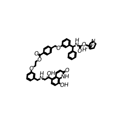 O=C(NC(c1ccccc1)c1cccc(OCc2ccc(C(=O)OCCOc3cccc(CNC[C@H](O)c4ccc(O)c5[nH]c(=O)ccc45)c3)cc2)c1)O[C@H]1CN2CCC1CC2